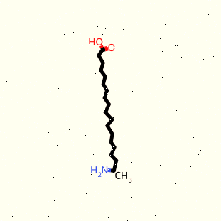 CC(N)CCCCCCCCCCCCCCCCC(=O)O